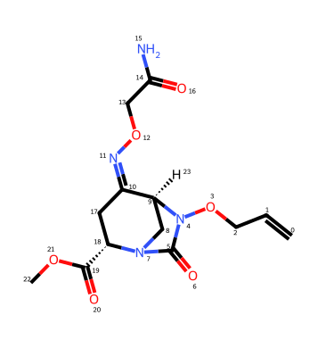 C=CCON1C(=O)N2C[C@H]1/C(=N\OCC(N)=O)C[C@H]2C(=O)OC